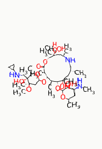 CC[C@H]1OC(=O)[C@H](C)[C@@H](O[C@H]2C[C@@](C)(OC)[C@](O)(CNC3CC3)[C@H](C)O2)[C@H](C)[C@@H](O[C@@H]2O[C@H](C)C[C@H](NC)[C@H]2O)[C@](C)(O)C[C@@H](C)CN[C@H](C)[C@@H](O)[C@]1(C)O